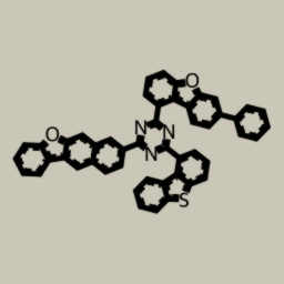 c1ccc(-c2ccc3c(c2)oc2cccc(-c4nc(-c5ccc6cc7c(cc6c5)oc5ccccc57)nc(-c5cccc6sc7ccccc7c56)n4)c23)cc1